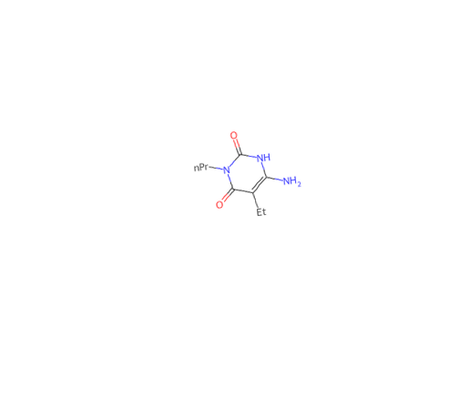 CCCn1c(=O)[nH]c(N)c(CC)c1=O